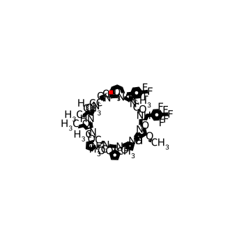 CCCC[C@H]1C(=O)N[C@@H]([C@@H](C)CC)C(=O)N(C)CC(=O)N(C)[C@H]2C/C=C\CCN(C2=O)[C@@H](Cc2ccc(C(F)(F)F)cc2)C(=O)N(C)CC(=O)N[C@@H](CCc2cc(F)c(C(F)(F)F)c(F)c2)C(=O)N2C[C@H](OCC)C[C@H]2C(=O)NC2(CCC2)C(=O)N(C)[C@@H](C2CCCC2)C(=O)N(C)[C@H](C(=O)N2CCCC2)CC(=O)N1C